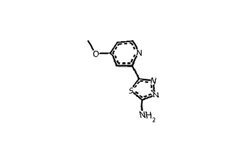 COc1ccnc(-c2nnc(N)s2)c1